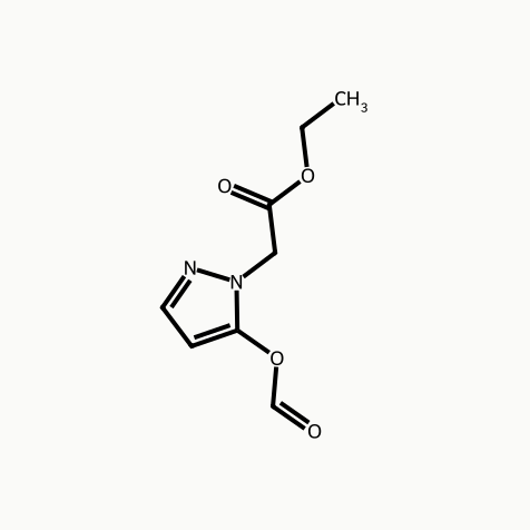 CCOC(=O)Cn1nccc1OC=O